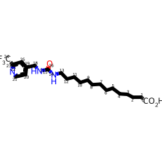 O=C(O)CCCCCCCCCCCCCNC(=O)NCc1ccnc(C(F)(F)F)c1